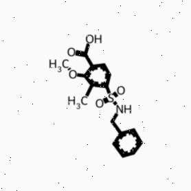 COc1c(C(=O)O)ccc(S(=O)(=O)NCc2ccccc2)c1C